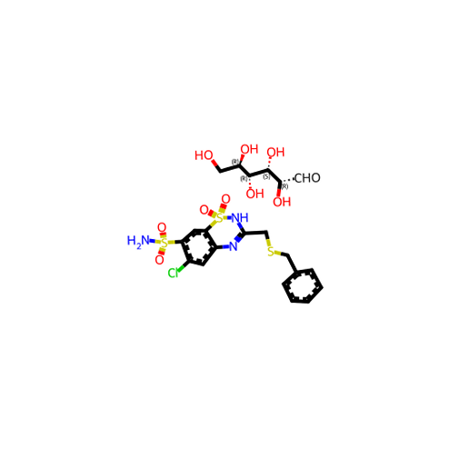 NS(=O)(=O)c1cc2c(cc1Cl)N=C(CSCc1ccccc1)NS2(=O)=O.O=C[C@H](O)[C@@H](O)[C@H](O)[C@H](O)CO